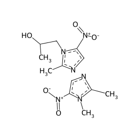 Cc1ncc([N+](=O)[O-])n1C.Cc1ncc([N+](=O)[O-])n1CC(C)O